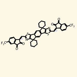 O=C1C(=O)c2cc(C(F)(F)F)ccc2/C1=C/c1nc2c(s1)-c1cc3c(cc1C21CCCCC1)-c1sc(/C=C2\C(=O)C(=O)c4cc(C(F)(F)F)ccc42)nc1C31CCCCC1